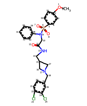 COc1ccc(S(=O)(=O)N(CC(=O)NCC2CN(Cc3ccc(Cl)c(Cl)c3)C2)c2ccccc2)cc1